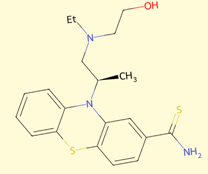 CCN(CCO)C[C@@H](C)N1c2ccccc2Sc2ccc(C(N)=S)cc21